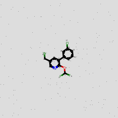 FC(F)Oc1ncc(CBr)cc1-c1cccc(Cl)c1